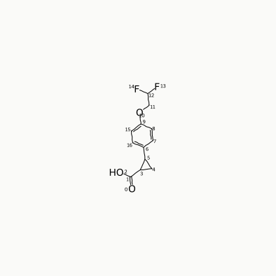 O=C(O)C1CC1c1ccc(OCC(F)F)cc1